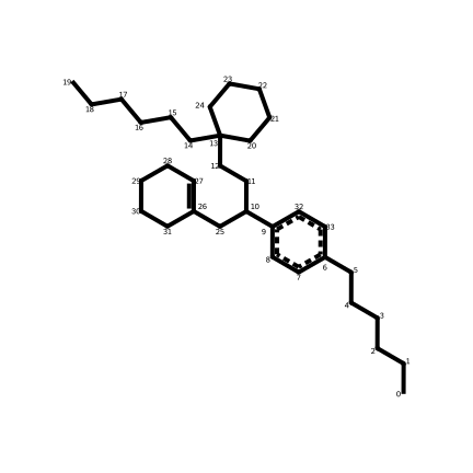 CCCCCCc1ccc(C(CCC2(CCCCCC)CCCCC2)CC2=CCCCC2)cc1